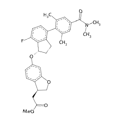 COC(=O)C[C@@H]1COc2cc(O[C@H]3CCc4c(-c5c(C)cc(C(=O)N(C)C)cc5C)ccc(F)c43)ccc21